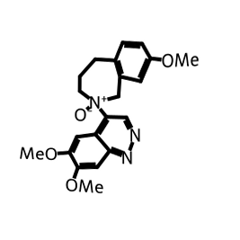 COc1ccc2c(c1)C[N+]([O-])(c1cnnc3cc(OC)c(OC)cc13)CCC2